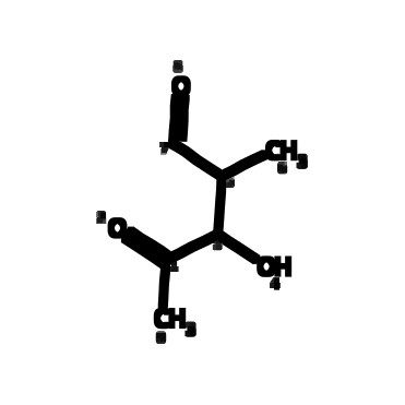 CC(=O)C(O)C(C)C=O